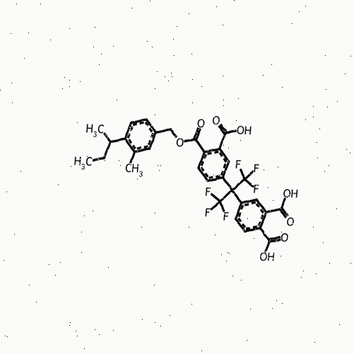 CCC(C)c1ccc(COC(=O)c2ccc(C(c3ccc(C(=O)O)c(C(=O)O)c3)(C(F)(F)F)C(F)(F)F)cc2C(=O)O)cc1C